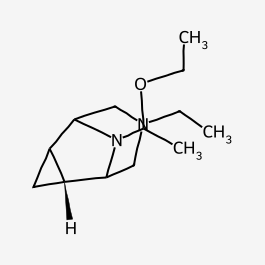 CCOC(C)N1C2CN(CC)CC1[C@@H]1CC21